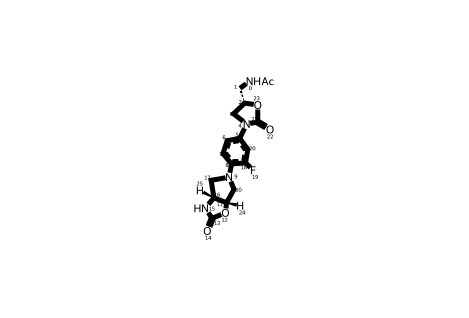 CC(=O)NC[C@H]1CN(c2ccc(N3C[C@@H]4OC(=O)N[C@@H]4C3)c(F)c2)C(=O)O1